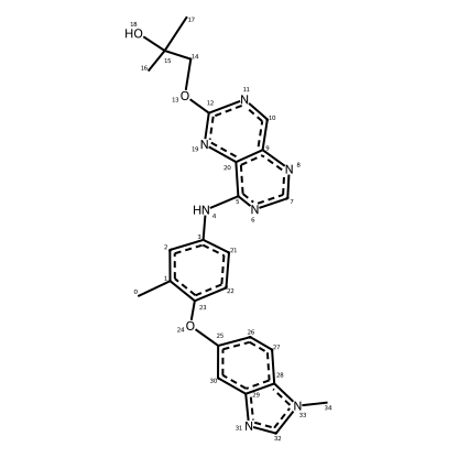 Cc1cc(Nc2ncnc3cnc(OCC(C)(C)O)nc23)ccc1Oc1ccc2c(c1)ncn2C